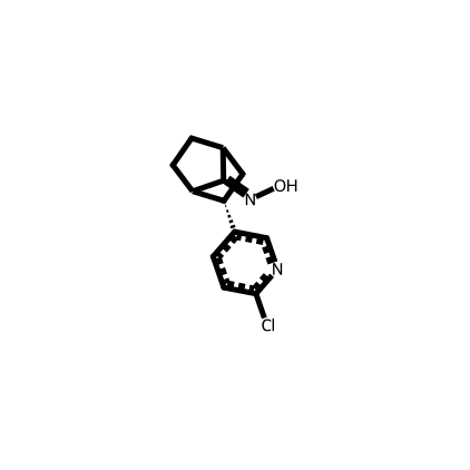 O/N=C1\C2CCC1[C@@H](c1ccc(Cl)nc1)C2